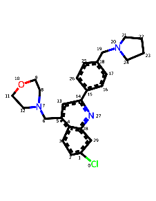 Clc1ccc2c(CN3CCOCC3)cc(-c3ccc(CN4CCCC4)cc3)nc2c1